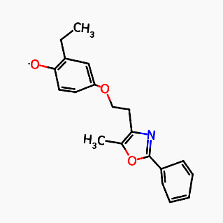 CCc1cc(OCCc2nc(-c3ccccc3)oc2C)ccc1[O]